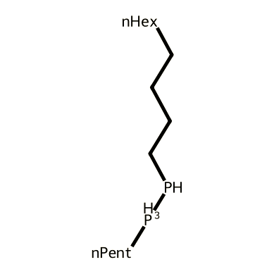 CCCCCCCCCCP[PH3]CCCCC